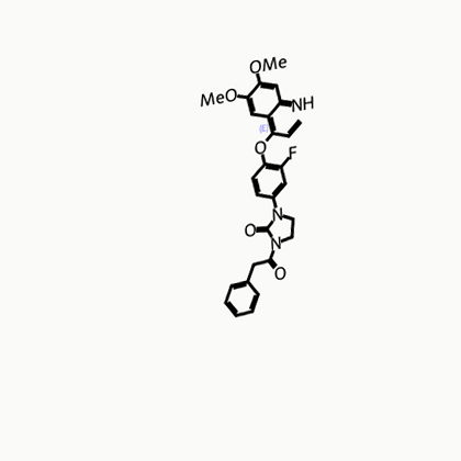 C=C/C(Oc1ccc(N2CCN(C(=O)Cc3ccccc3)C2=O)cc1F)=C1/C=C(OC)C(OC)=CC1=N